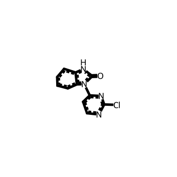 O=c1[nH]c2ccccc2n1-c1ccnc(Cl)n1